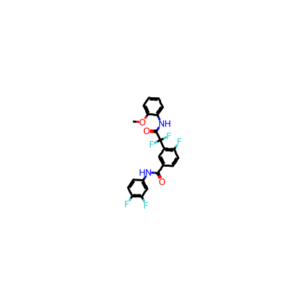 COc1ccccc1NC(=O)C(F)(F)c1cc(C(=O)Nc2ccc(F)c(F)c2)ccc1F